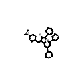 CN(C)c1ccc(/C=C2\C(=O)C(c3ccccc3)[n+]3c2cc(-c2ccccc2)cc3-c2ccccc2)cc1